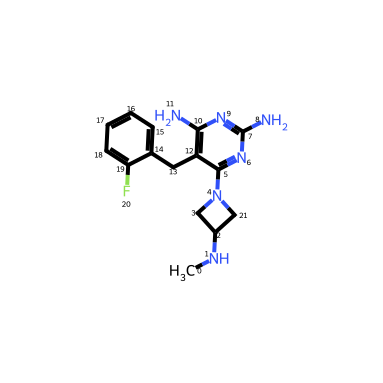 CNC1CN(c2nc(N)nc(N)c2Cc2ccccc2F)C1